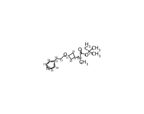 CN(C(=O)OC(C)(C)C)[C@H]1C[C@H](OCCc2ccncc2)C1